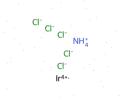 [Cl-].[Cl-].[Cl-].[Cl-].[Cl-].[Ir+4].[NH4+]